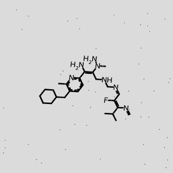 C=N/C(=C(F)\C=N/CNC/C(=C(/N)c1ccc(CC2CCCCC2)c(C)n1)N(C)N)C(C)C